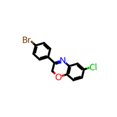 Clc1ccc2c(c1)N=C(c1ccc(Br)cc1)CO2